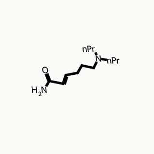 CCCN(CCC)CCCC=CC(N)=O